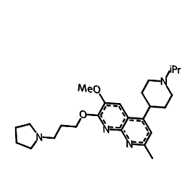 COc1cc2c(C3CCN(C(C)C)CC3)cc(C)nc2nc1OCCCN1CCCC1